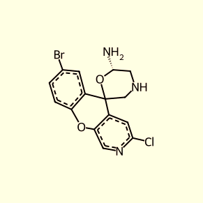 N[C@@H]1CNCC2(O1)c1cc(Br)ccc1Oc1cnc(Cl)cc12